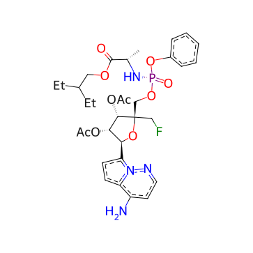 CCC(CC)COC(=O)[C@H](C)N[P@](=O)(OC[C@@]1(CF)O[C@@H](c2ccc3c(N)ccnn23)[C@H](OC(C)=O)[C@@H]1OC(C)=O)Oc1ccccc1